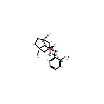 COC(=O)N1[C@@H]2CC[C@H]1C[C@H](Nc1ccccc1N)C2